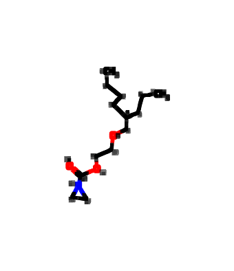 CCCCC(CCC)COCCOC(=O)N1CC1